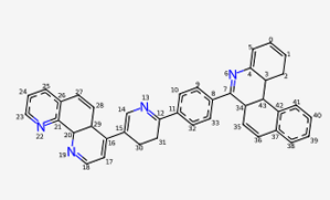 C1=CCC2C(=C1)N=C(c1ccc(C3=NC=C(C4=CC=NC5c6ncccc6C=CC45)CC3)cc1)C1C=Cc3ccccc3C12